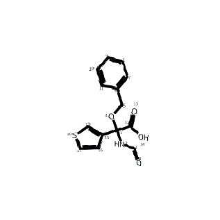 O=CNC(OCc1ccccc1)(C(=O)O)c1ccsc1